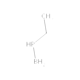 BPCC